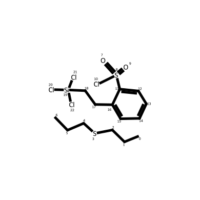 CCCSCCC.O=S(=O)(Cl)c1ccccc1CC[Si](Cl)(Cl)Cl